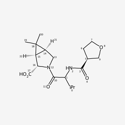 CC(C)C(NC(=O)[C@H]1CCOC1)C(=O)N1C[C@H]2[C@@H]([C@H]1C(=O)O)C2(C)C